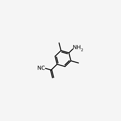 C=C(C#N)c1cc(C)c(N)c(C)c1